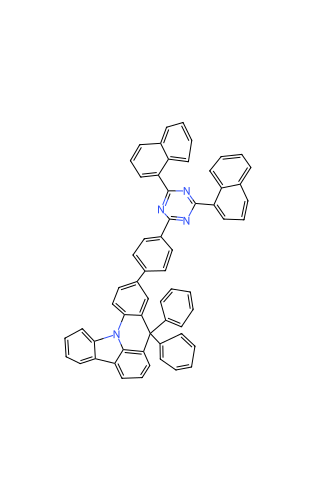 c1ccc(C2(c3ccccc3)c3cc(-c4ccc(-c5nc(-c6cccc7ccccc67)nc(-c6cccc7ccccc67)n5)cc4)ccc3-n3c4ccccc4c4cccc2c43)cc1